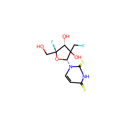 OC[C@@]1(F)O[C@@H](n2ccc(=S)[nH]c2=S)C(O)(CF)[C@H]1O